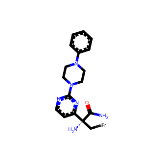 CC(C)C[C@](N)(C(N)=O)c1ccnc(N2CCN(c3ccccc3)CC2)n1